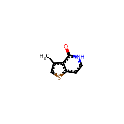 Cc1csc2cc[nH]c(=O)c12